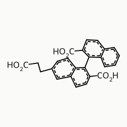 O=C(O)CCc1ccc2c(-c3c(C(=O)O)ccc4ccccc34)c(C(=O)O)ccc2c1